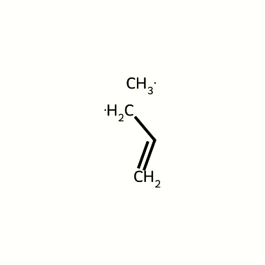 [CH2]C=C.[CH3]